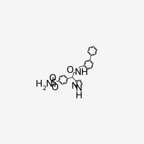 NS(=O)(=O)c1ccc(C(C(=O)NCc2cccc(-c3ccccc3)c2)c2cc[nH]n2)cc1